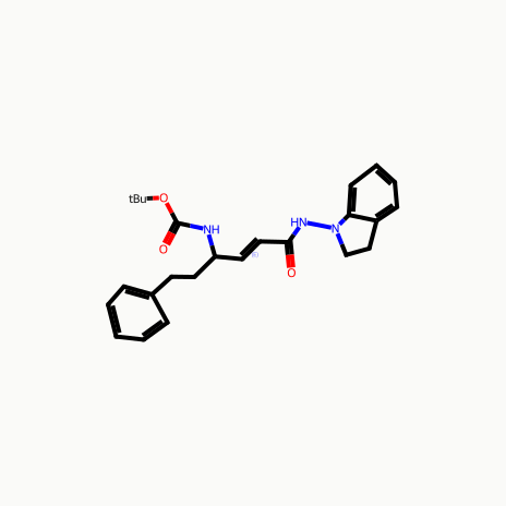 CC(C)(C)OC(=O)NC(/C=C/C(=O)NN1CCc2ccccc21)CCc1ccccc1